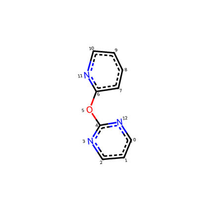 [c]1ccnc(Oc2ccccn2)n1